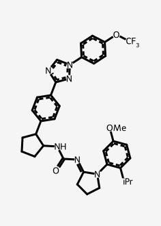 COc1ccc(C(C)C)c(N2CCC/C2=N\C(=O)NC2CCCC2c2ccc(-c3ncn(-c4ccc(OC(F)(F)F)cc4)n3)cc2)c1